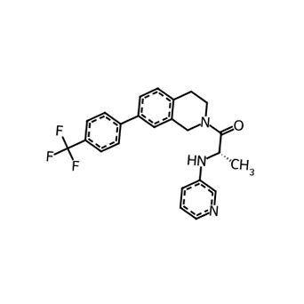 C[C@H](Nc1cccnc1)C(=O)N1CCc2ccc(-c3ccc(C(F)(F)F)cc3)cc2C1